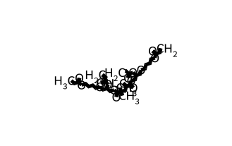 C=CC(=O)OCCCCOCC(COC(=O)C(=C)CC(C)(C)C(=O)OCC(COCCCCOC(=O)CC)OC(=O)C=C)OC(=O)C=C